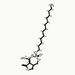 C=C1OCC2COP(=O)(OCCCCCCCCCCCCCC(C)C)OC(CCC)=C12